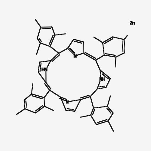 Cc1cc(C)c(-c2c3nc(c(-c4c(C)cc(C)cc4C)c4ccc([nH]4)c(-c4c(C)cc(C)cc4C)c4nc(c(-c5c(C)cc(C)cc5C)c5ccc2[nH]5)C=C4)C=C3)c(C)c1.[Zn]